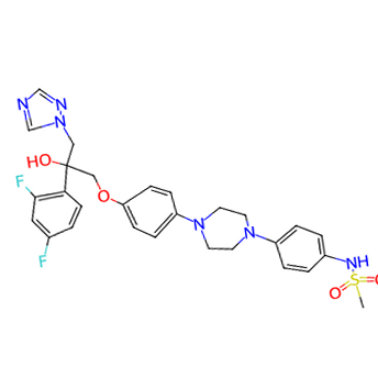 CS(=O)(=O)Nc1ccc(N2CCN(c3ccc(OCC(O)(Cn4cncn4)c4ccc(F)cc4F)cc3)CC2)cc1